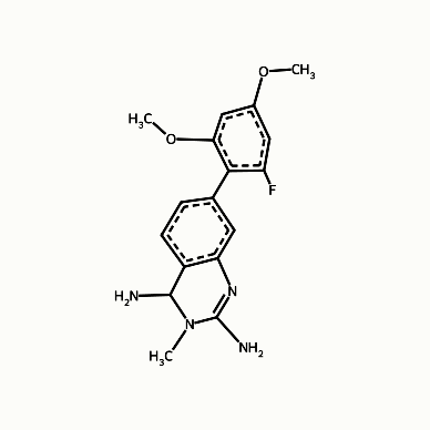 COc1cc(F)c(-c2ccc3c(c2)N=C(N)N(C)C3N)c(OC)c1